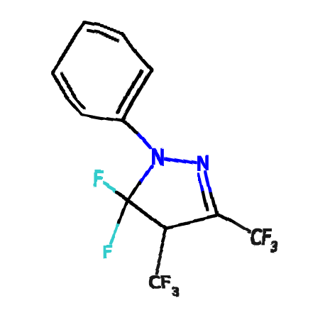 FC(F)(F)C1=NN(c2ccccc2)C(F)(F)C1C(F)(F)F